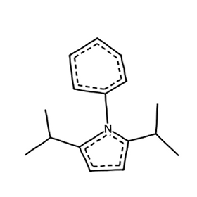 CC(C)c1ccc(C(C)C)n1-c1ccccc1